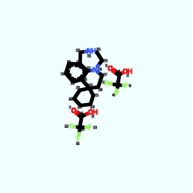 O=C(O)C(F)(F)F.O=C(O)C(F)(F)F.c1cc2c3c(c1)C1(CCCCC1)CCN3CCNC2